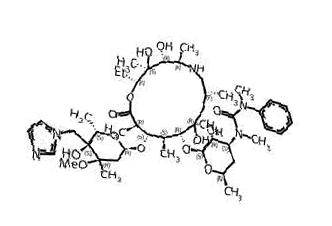 CC[C@H]1OC(=O)[C@H](C)[C@@H](O[C@H]2C[C@@](C)(OC)[C@](O)(Cn3ccnc3)[C@H](C)O2)[C@H](C)[C@@H](O[C@@H]2O[C@H](C)C[C@H](N(C)C(=O)N(C)c3ccccc3)[C@H]2O)[C@](C)(O)C[C@@H](C)CN[C@H](C)[C@@H](O)[C@]1(C)O